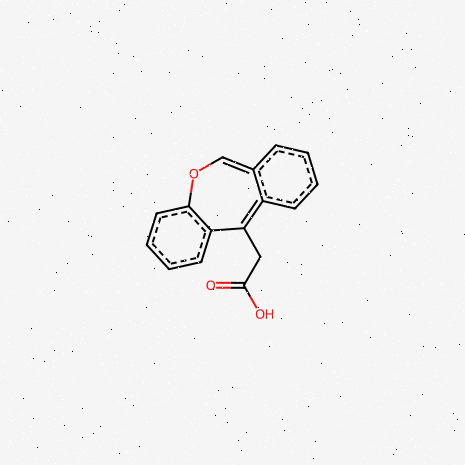 O=C(O)CC1=c2ccccc2=COc2ccccc21